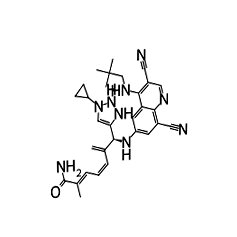 C=C(/C=C\C=C(/C)C(N)=O)[C@H](Nc1cc(C#N)c2ncc(C#N)c(NCC(C)(C)C)c2c1)C1=CN(C2CC2)NN1